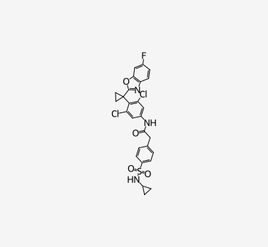 O=C(Cc1ccc(S(=O)(=O)NC2CC2)cc1)Nc1cc(Cl)c(C2(c3nc4ccc(F)cc4o3)CC2)c(Cl)c1